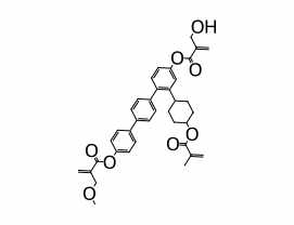 C=C(C)C(=O)OC1CCC(c2cc(OC(=O)C(=C)CO)ccc2-c2ccc(-c3ccc(OC(=O)C(=C)COC)cc3)cc2)CC1